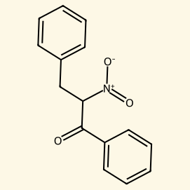 O=C(c1ccccc1)C(Cc1ccccc1)[N+](=O)[O-]